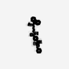 CC(=O)[C@H](CCCCNC(=O)c1ccc(NC(=O)OCc2ccccc2)cc1)n1c2ccccc2c2ccccc21